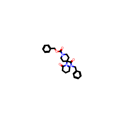 O=C(OCc1ccccc1)N1CCC(C(=O)NCc2ccccc2)(N2CCCCC2=O)CC1